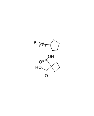 N.NC1CCCC1.O=C(O)C1(C(=O)O)CCC1.[Pt]